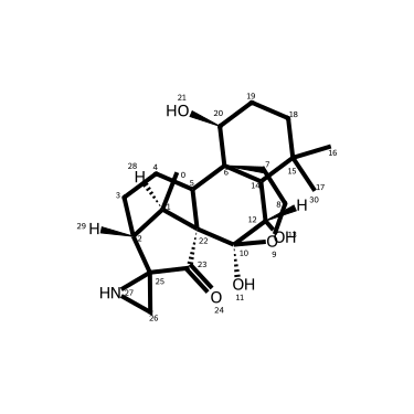 C[C@@H]1[C@H]2CCC3[C@@]45CCO[C@](O)([C@@H](O)C4C(C)(C)CC[C@@H]5O)[C@]31C(=O)C21CN1